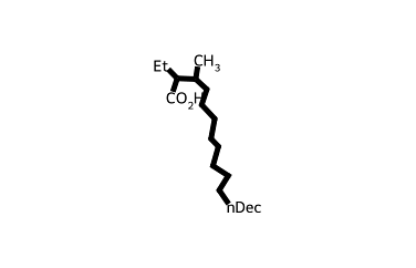 CCCCCCCCCCCCCCCCCCC(C)C(CC)C(=O)O